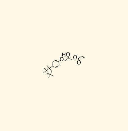 C=CC(=O)OCC(O)COc1ccc(C(C)(CC(C)(C)C)C(C)(C)C)cc1